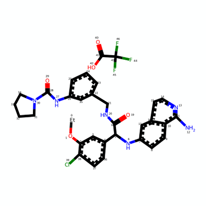 CCOc1cc(C(Nc2ccc3c(N)nccc3c2)C(=O)NCc2cccc(NC(=O)N3CCCC3)c2)ccc1Cl.O=C(O)C(F)(F)F